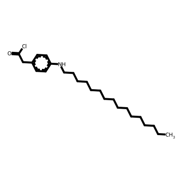 CCCCCCCCCCCCCCCCNc1ccc(CC(=O)Cl)cc1